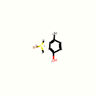 CC(=O)c1ccc(O)cc1.C[S+](C)Br